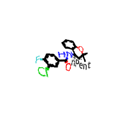 CCCCC[C@@]1(NC(=O)c2ccc(F)c(Cl)c2)[CH]C(C)(C)Oc2ccccc21